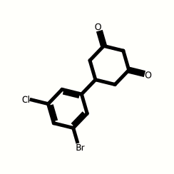 O=C1CC(=O)CC(c2cc(Cl)cc(Br)c2)C1